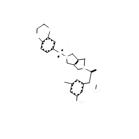 CNC[C@@H](C(=O)N1CC2=C(C1)CN(S(=O)(=O)c1ccc3c(c1)OCCO3)C2)c1cc(Cl)cc(OC)c1